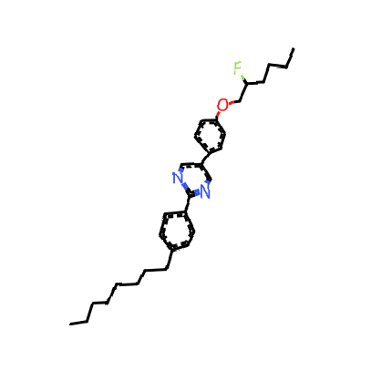 CCCCCCCCc1ccc(-c2ncc(-c3ccc(OCC(F)CCCC)cc3)cn2)cc1